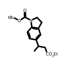 CCOC(=O)CC(C)c1ccc2c(c1)CCN2C(=O)OC(C)(C)C